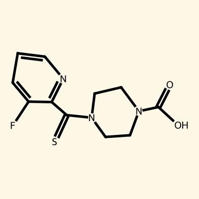 O=C(O)N1CCN(C(=S)c2ncccc2F)CC1